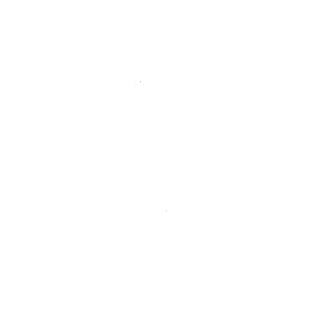 NCCc1ccc(OCC2CCC2)cc1